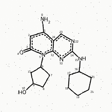 Nc1cc(=O)n(C2CCC(O)C2)c2nc(NC3CCCCC3)ncc12